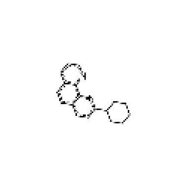 c1cnc2c(c1)ccc1ccc(C3CCCCC3)nc12